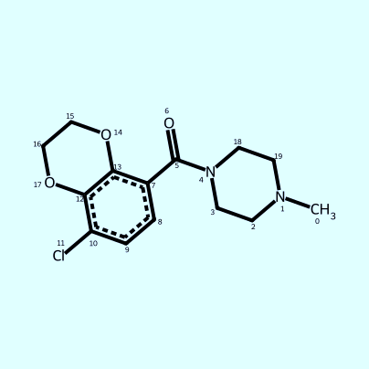 CN1CCN(C(=O)c2ccc(Cl)c3c2OCCO3)CC1